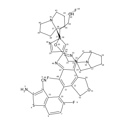 N#Cc1c(N)sc2ccc(F)c(-c3c4c(c5c(N6C7CCC6CN(Cc6cnn(CCO)c6)C7)nc(OC[C@@]67CCCN6C[C@H](F)C7)nc5c3F)COC4)c12